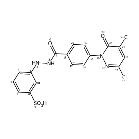 O=C(NNc1cccc(S(=O)(=O)O)c1)c1ccc(-n2nc(Cl)cc(Cl)c2=O)cc1